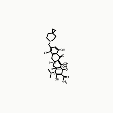 CN(C)[C@@H]1C(O)=C(C(N)=O)C(=O)[C@@]2(O)C(O)=C3C(=O)c4c(O)cc(CN5CCC6(CC5)CC6)c(Cl)c4C[C@H]3C[C@@H]12